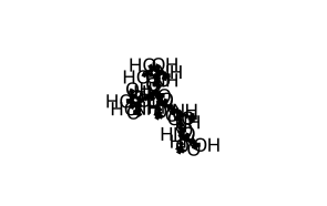 CC(=O)NC1C(NC(=O)C[C@H](NC(=O)COC2OC(CO)C(O)C(O)C2NC(C)=O)C(=O)N[C@@H](COC(C)(C)C)C(=O)NCC(=O)N[C@@H](COC(C)(C)C)C(=O)NCC(=O)N[C@@H](COC(C)(C)C)C(=O)NCC(=O)O)OC(CO)C(O)C1O